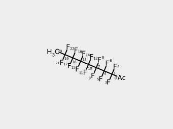 CC(=O)C(F)(F)C(F)(F)C(F)(F)C(F)(F)C(F)(F)C(F)(F)C(C)(F)F